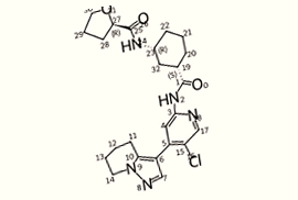 O=C(Nc1cc(-c2cnn3c2CCCC3)c(Cl)cn1)[C@H]1CCC[C@@H](NC(=O)[C@H]2CCCO2)C1